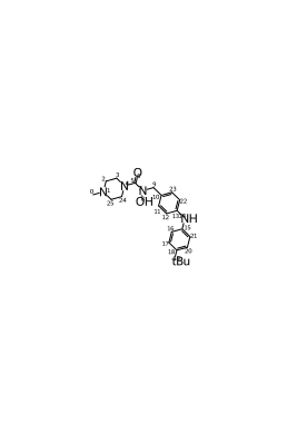 CN1CCN(C(=O)N(O)Cc2ccc(Nc3ccc(C(C)(C)C)cc3)cc2)CC1